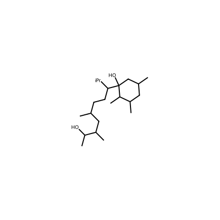 CC(CCC(C(C)C)C1(O)CC(C)CC(C)C1C)CC(C)C(C)O